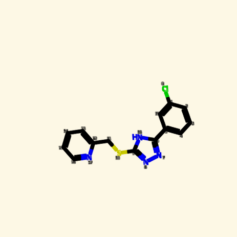 Clc1cccc(-c2nnc(SCc3ccccn3)[nH]2)c1